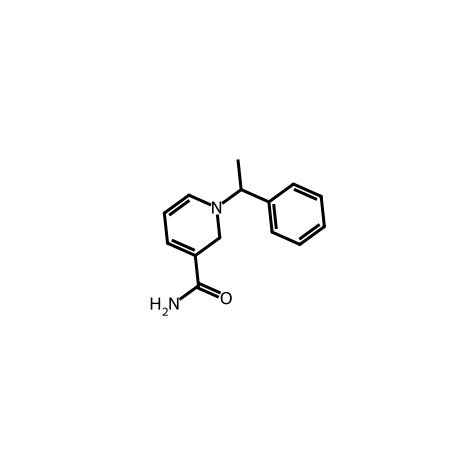 CC(c1ccccc1)N1C=CC=C(C(N)=O)C1